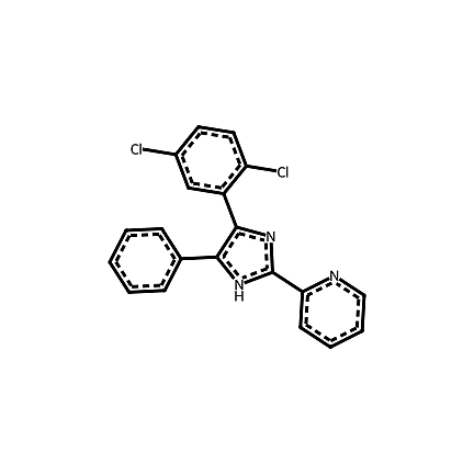 Clc1ccc(Cl)c(-c2nc(-c3ccccn3)[nH]c2-c2ccccc2)c1